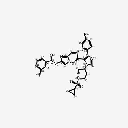 O=C(Nc1cn2nc(-c3c(-c4ccc(F)cc4)ncn3C3CCN(S(=O)(=O)C4CC4)CC3)ccc2n1)c1ccnc(F)c1